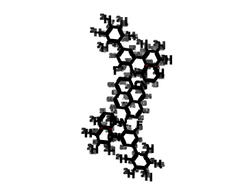 [2H]c1c([2H])c([2H])c(-c2cc(F)c(N(c3ccccc3C#N)c3ccc4ccc5c(N(c6ccccc6[N+]#[C-])c6c(F)cc(-c7c([2H])c([2H])c([2H])c([2H])c7[2H])cc6-c6c([2H])c([2H])c([2H])c([2H])c6[2H])ccc6ccc3c4c65)c(-c3c([2H])c([2H])c([2H])c([2H])c3[2H])c2)c([2H])c1[2H]